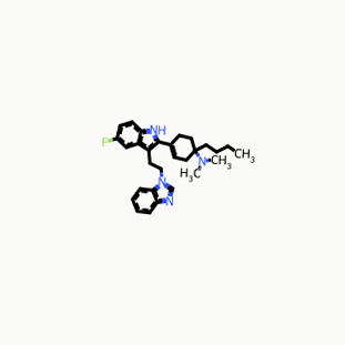 CCCCC1(N(C)C)CC=C(c2[nH]c3ccc(F)cc3c2CCn2cnc3ccccc32)CC1